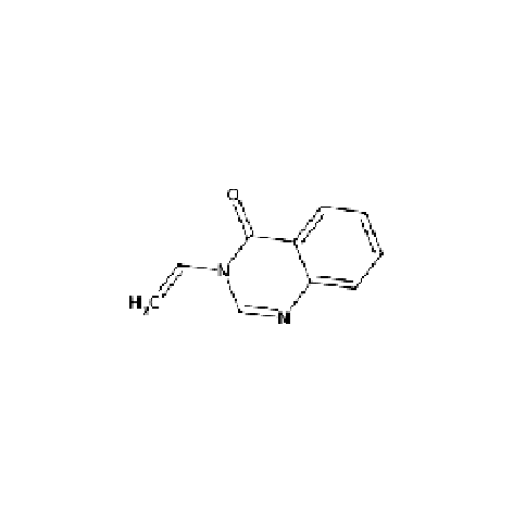 C=Cn1cnc2ccccc2c1=O